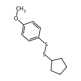 COc1ccc(SSC2CCCC2)cc1